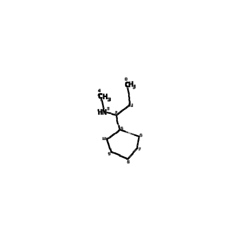 C[CH]C(NC)C1CCCCC1